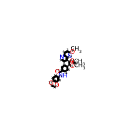 COc1ccc2nccc([C@H]3OC(C)(C)O[C@@H]3C3CCC(C(=O)Nc4ccc5c(c4)OCCO5)CC3)c2n1